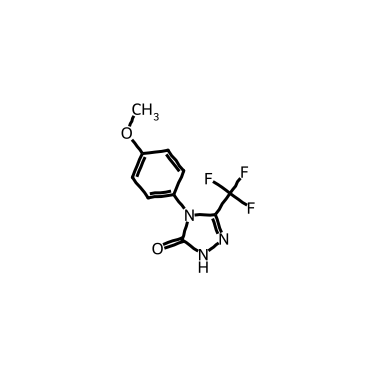 COc1ccc(-n2c(C(F)(F)F)n[nH]c2=O)cc1